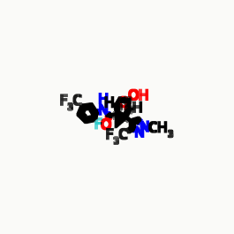 Cn1cc([C@@]23C[C@]2(C(=O)Nc2cc(C(F)(F)F)ccc2F)[C@H]2C[C@H](O)[C@@H]3O2)c(C(F)(F)F)n1